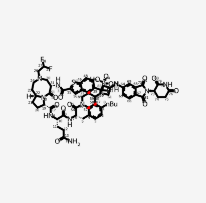 CCCCc1ccc(C[C@H](NC(=O)[C@H](CCC(N)=O)NC(=O)[C@@H]2CC[C@@H]3CCN(CC(F)F)C[C@H](NC(=O)c4cc5cc(C(F)(F)P(=O)(O)O)ccc5s4)C(=O)N32)C(=O)N2CCC(N3CC(Nc4ccc5c(c4)C(=O)N(C4CCC(=O)NC4=O)C5=O)C3)CC2)cc1